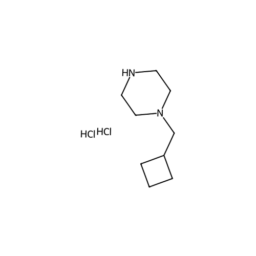 C1CC(CN2CCNCC2)C1.Cl.Cl